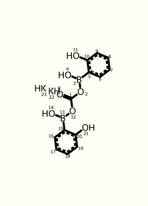 O=C(OB(O)c1ccccc1O)OB(O)c1ccccc1O.[KH].[KH]